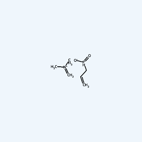 C=CC[PH](=O)[O-].C=[N+](C)C